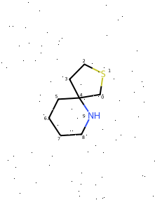 [CH]1SCCC12CCCCN2